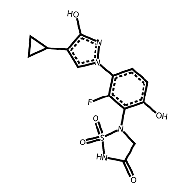 O=C1CN(c2c(O)ccc(-n3cc(C4CC4)c(O)n3)c2F)S(=O)(=O)N1